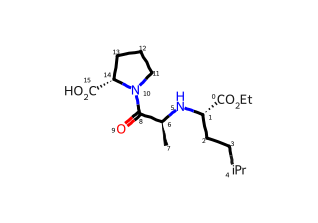 CCOC(=O)[C@H](CCC(C)C)N[C@@H](C)C(=O)N1CCC[C@H]1C(=O)O